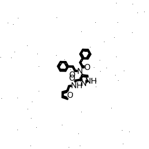 O=C(NCc1ccco1)c1n[nH]cc1N(C(=O)Cc1ccccc1)C(=O)Cc1ccccc1